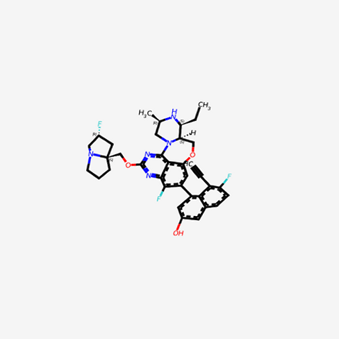 C#Cc1c(F)ccc2cc(O)cc(-c3cc4c5c(nc(OC[C@@]67CCCN6C[C@H](F)C7)nc5c3F)N3C[C@@H](C)N[C@@H](CC)[C@H]3CO4)c12